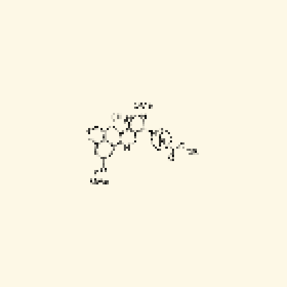 COCOc1cc2c3c(cccc3c1)C(C)c1c-2ncc2c(N3CC4CCCC3CN4C(=O)OC(C)(C)C)nc(OC)nc12